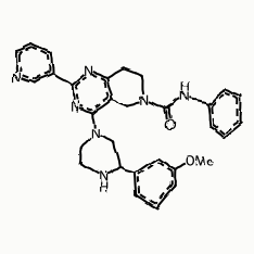 COc1cccc(C2CN(c3nc(-c4cccnc4)nc4c3CN(C(=O)Nc3ccccc3)CC4)CCN2)c1